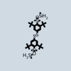 C[SiH2]O[Si](C)(C)c1c(C(C)(C)C)cc(SSc2cc(C(C)(C)C)c([Si](C)(C)O[SiH2]C)c(C(C)(C)C)c2)cc1C(C)(C)C